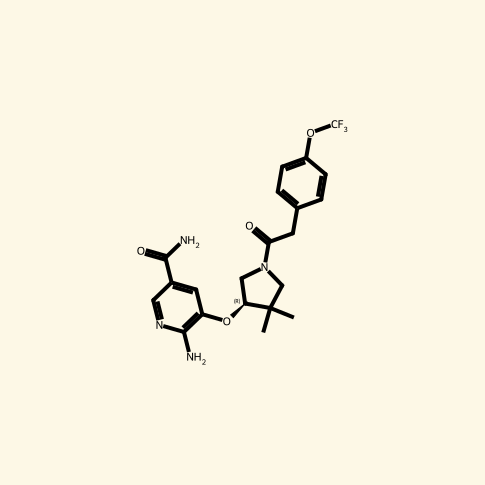 CC1(C)CN(C(=O)Cc2ccc(OC(F)(F)F)cc2)C[C@@H]1Oc1cc(C(N)=O)cnc1N